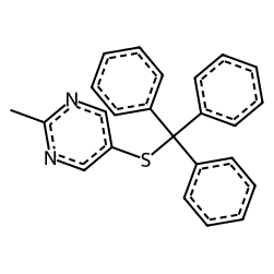 Cc1ncc(SC(c2ccccc2)(c2ccccc2)c2ccccc2)cn1